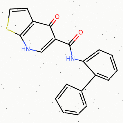 O=C(Nc1ccccc1-c1ccccc1)c1c[nH]c2sccc2c1=O